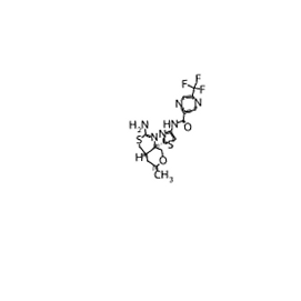 C[C@H]1C[C@H]2CSC(N)=N[C@@]2(c2nc(NC(=O)c3cnc(C(F)(F)F)cn3)cs2)CO1